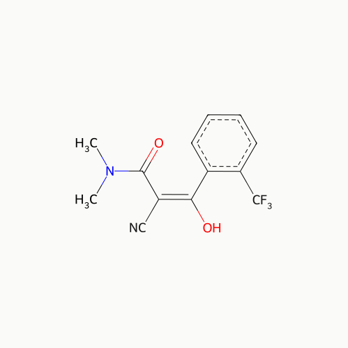 CN(C)C(=O)C(C#N)=C(O)c1ccccc1C(F)(F)F